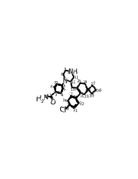 NC(=O)c1ccc(N2CCNCC2CC2=C(c3ccc(Cl)cc3)CC3(CCC3)CC2)cc1